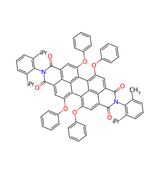 Cc1cccc(C(C)C)c1N1C(=O)c2cc(Oc3ccccc3)c3c4c(Oc5ccccc5)cc5c6c(cc(Oc7ccccc7)c(c7c(Oc8ccccc8)cc(c2c37)C1=O)c64)C(=O)N(c1c(C(C)C)cccc1C(C)C)C5=O